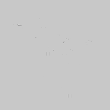 C=CCC(CC=C)C(=O)O[C@H]1C[C@H](O)C=C2C=CC[C@@H]([C@@H](C)C[C@@H]3C[C@@H](O)CC(=O)O3)[C@H]21